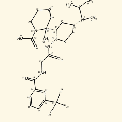 CC(C)N(C)[C@@H]1CC[C@H](NC(=O)CNC(=O)c2cccc(C(F)(F)F)c2)[C@H](C2(C)COCCN2C(=O)O)C1